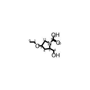 CCOC1CC(CO)N(C(=O)O)C1